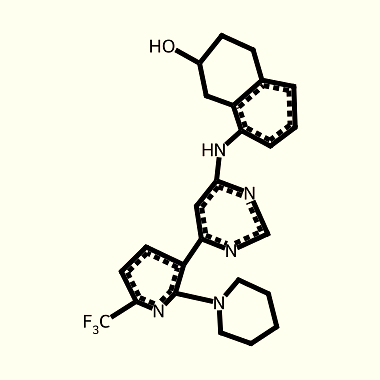 OC1CCc2cccc(Nc3cc(-c4ccc(C(F)(F)F)nc4N4CCCCC4)ncn3)c2C1